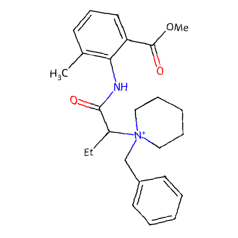 CCC(C(=O)Nc1c(C)cccc1C(=O)OC)[N+]1(Cc2ccccc2)CCCCC1